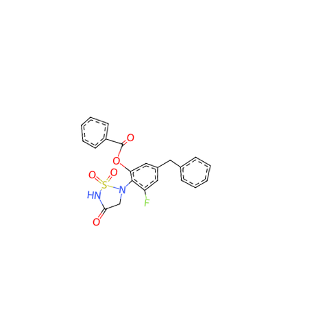 O=C1CN(c2c(F)cc(Cc3ccccc3)cc2OC(=O)c2ccccc2)S(=O)(=O)N1